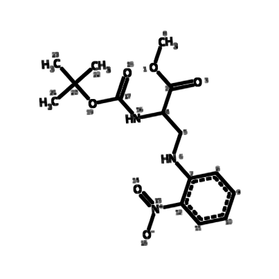 COC(=O)C(CNc1ccccc1[N+](=O)[O-])NC(=O)OC(C)(C)C